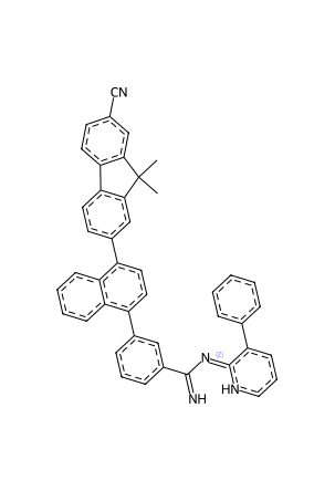 CC1(C)c2cc(C#N)ccc2-c2ccc(-c3ccc(-c4cccc(C(=N)/N=c5\[nH]cccc5-c5ccccc5)c4)c4ccccc34)cc21